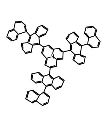 C1=C(c2c3ccccc3c(-c3cccc4ccccc34)c3ccccc23)C=C2C=C(c3c4ccccc4c(-c4cccc5ccccc45)c4ccccc34)C=C3C=C(c4c5ccccc5c(-c5cccc6ccccc56)c5ccccc45)C=C1N23